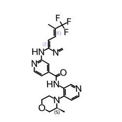 C=N/C(=C\C=C(/C)C(F)(F)F)Nc1cc(C(=O)Nc2cnccc2N2CCOC[C@@H]2C)ccn1